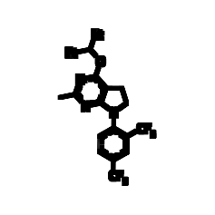 CCC(CC)Oc1nc(C)nc2c1CCN2c1ccc(C(F)(F)F)cc1C(F)(F)F